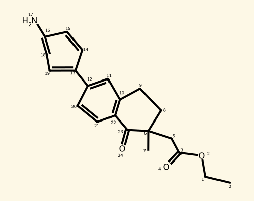 CCOC(=O)CC1(C)CCc2cc(-c3ccc(N)cc3)ccc2C1=O